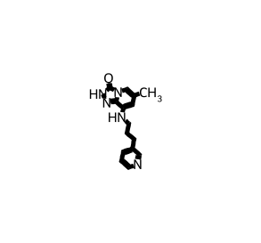 Cc1cc(NCCCc2cccnc2)c2n[nH]c(=O)n2c1